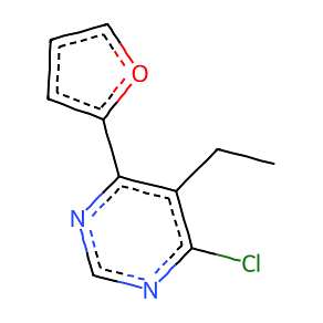 CCc1c(Cl)ncnc1-c1ccco1